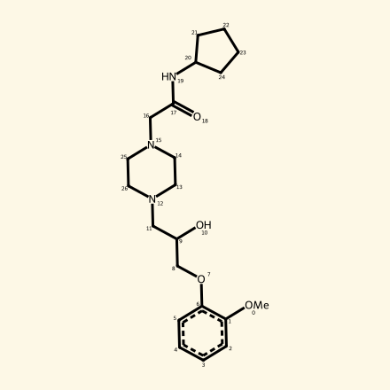 COc1ccccc1OCC(O)CN1CCN(CC(=O)NC2CCCC2)CC1